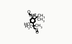 CC(C)(C)c1cc(C(C)(C)CN=O)c(O)cc1NC=O